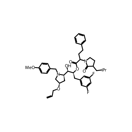 C=CCO[C@@H]1C[C@H]([C@@H](O)[C@H](Cc2cc(F)cc(F)c2)OC(=O)C(CCc2ccccc2)N2CCC(CC(C)C)C2=O)N(Cc2ccc(OC)cc2)C1